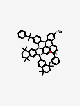 CC(C)(C)c1ccc(N2c3ccc(C(C)(C)c4ccccc4)cc3B3c4cc5c(cc4N(c4ccc6c(c4)C(C)(C)CCC6(C)C)c4cc(C(C)(C)C)cc2c43)C(C)(C)CCC5(C)C)c(-c2ccc(-c3ccccc3)cc2)c1